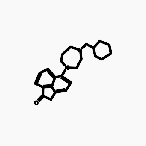 O=C1Cc2ccc(N3CCCN(CC4CCCCC4)CC3)c3cccc1c23